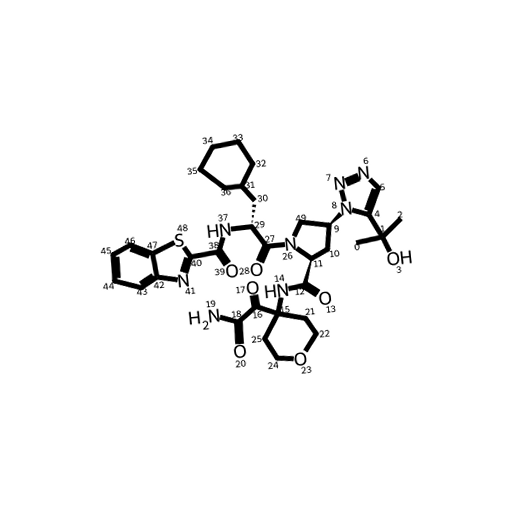 CC(C)(O)c1cnnn1[C@H]1C[C@@H](C(=O)NC2(C(=O)C(N)=O)CCOCC2)N(C(=O)[C@@H](CC2CCCCC2)NC(=O)c2nc3ccccc3s2)C1